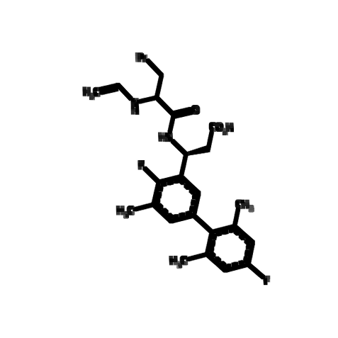 C=CNC(CC(C)C)C(=O)N[C@@H](CC(=O)O)c1cc(-c2c(C)cc(F)cc2C)cc(C)c1F